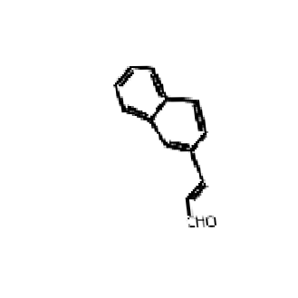 O=CC=Cc1ccc2ccccc2c1